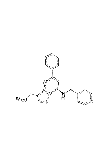 COCc1cnn2c(NCc3ccncc3)cc(-c3ccccc3)nc12